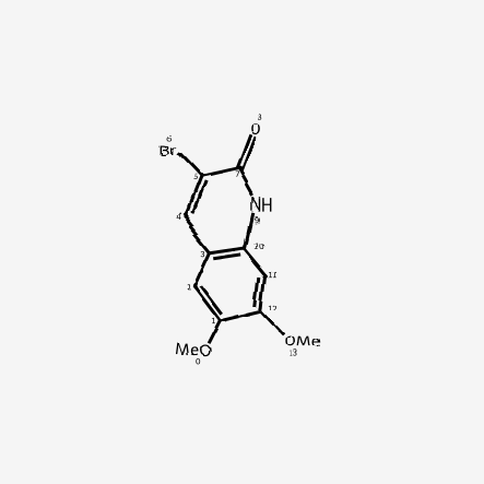 COc1cc2cc(Br)c(=O)[nH]c2cc1OC